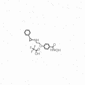 O=C(NO)c1ccc(OCCNC2CC2c2ccccc2)cc1.O=C(O)C(F)(F)F